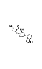 N#CN1CCC2(C1)Oc1ncc(-c3cccc4[nH]ncc34)cc1NC2=O